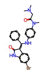 CN(C)CC(=O)N(C)c1ccc(NC(=C2C(=O)Nc3cc(Br)ccc32)c2ccccc2)cc1